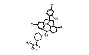 CN(C)C(=O)N1CCC[C@H](NC(=O)c2ccc(Br)cc2NC2(Cc3cccc(Cl)c3)C(=O)Nc3cc(Cl)ccc32)C1